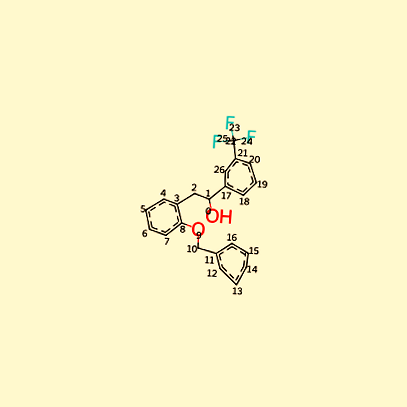 OC(Cc1ccccc1OCc1ccccc1)c1cccc(C(F)(F)F)c1